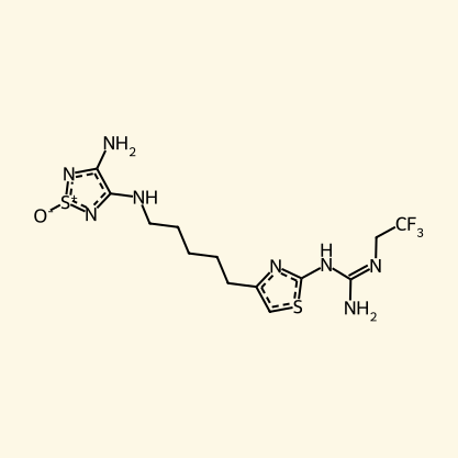 N/C(=N/CC(F)(F)F)Nc1nc(CCCCCNc2n[s+]([O-])nc2N)cs1